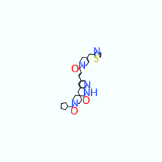 O=C(C=Cc1cnc2c(c1)CC1(CCN(C(=O)C3CCCC3)CC1)C(=O)N2)N1CC=C(Cc2nccs2)CC1